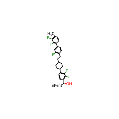 CCCCCC(O)c1ccc(C2CCC(CCc3ccc(-c4ccc(C)c(F)c4F)cc3F)CC2)c(F)c1F